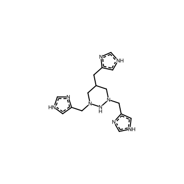 c1nc(CC2CN(Cc3c[nH]cn3)NN(Cc3c[nH]cn3)C2)c[nH]1